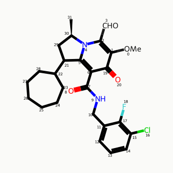 COc1c(C=O)n2c(c(C(=O)NCc3cccc(Cl)c3F)c1=O)C(C1CCCCCC1)C[C@H]2C